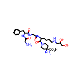 NCC(=O)NC(Cc1ccccc1)C(=O)NCC(=O)NC(CCCCNCC(O)CO)C(=O)N1CCC(N)(C(=O)O)CC1